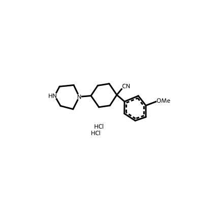 COc1cccc(C2(C#N)CCC(N3CCNCC3)CC2)c1.Cl.Cl